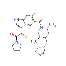 C[C@@H]1CC(Cc2ccsc2)[C@@H](C)CN1C(=O)c1cc2c(C(=O)C(=O)N3CCCC3)c[nH]c2cc1Cl